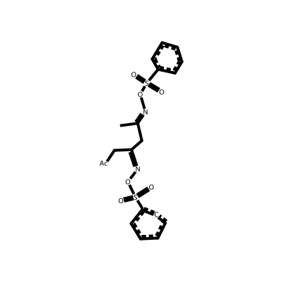 CC(=O)C/C(C/C(C)=N/OS(=O)(=O)c1ccccc1)=N\OS(=O)(=O)c1ccccc1